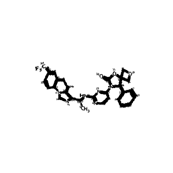 C[C@H](Nc1nccc(N2C(=O)OC3(COC3)C2c2ccccc2)n1)c1ncn2c1CCc1cc(C(F)(F)F)ccc1-2